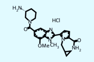 COc1cc(C(=O)N2CCC[C@@H](N)C2)cc2nc(-c3ccc(C(N)=O)n3CC3CC3)n(C)c12.Cl